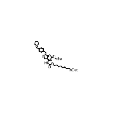 CCCCCCCCCCCCCCCCCCOC(=O)Nc1nc(OCCCC)nc2c1cnn2Cc1ccc(CN2CCCC2)cc1